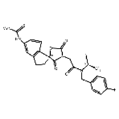 CNC(=S)Nc1ccc2c(c1)CC[C@@]21OC(=O)N(CC(=O)N(Cc2ccc(F)cc2)[C@@H](C)C(F)(F)F)C1=O